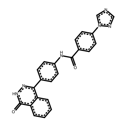 O=C(Nc1ccc(-c2n[nH]c(=O)c3ccccc23)cc1)c1ccc(-n2cncn2)cc1